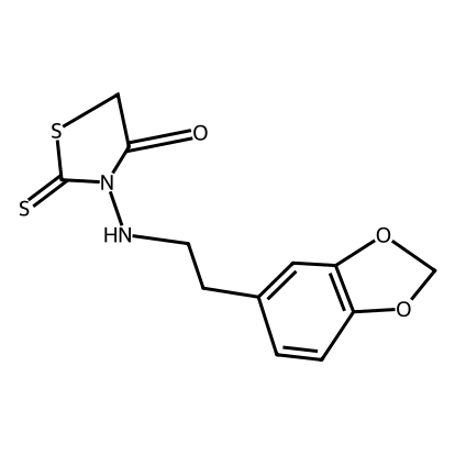 O=C1CSC(=S)N1NCCc1ccc2c(c1)OCO2